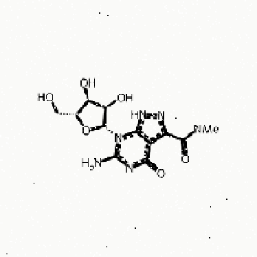 CNC(=O)c1n[nH]c2c1c(=O)nc(N)n2[C@@H]1O[C@H](CO)[C@@H](O)[C@H]1O